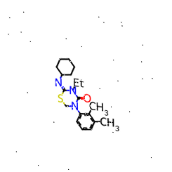 CCN1C(=O)N(c2cccc(C)c2C)CSC1=NC1CCCCC1